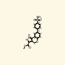 COC(=O)c1n[nH]c2c1COc1ccc(-c3ccc(S(N)(=O)=O)cc3)cc1-2